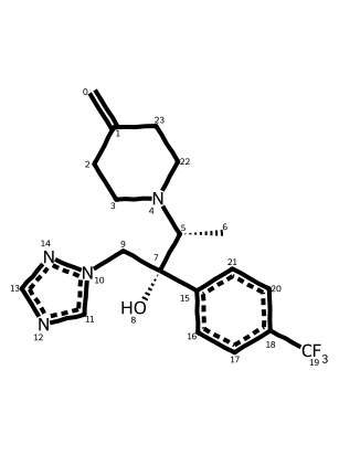 C=C1CCN([C@H](C)[C@](O)(Cn2cncn2)c2ccc(C(F)(F)F)cc2)CC1